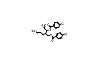 CCCCC(COC(=O)c1ccc(Cl)cc1)C(CC)OC(=O)c1ccc(Cl)cc1